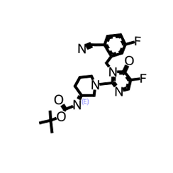 CC(C)(C)OC(=O)/N=C1\CCCN(c2ncc(F)c(=O)n2Cc2cc(F)ccc2C#N)C1